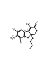 CCCCC12CCC(=O)C(Cl)=C1c1cc(F)c(N)c(C)c1C2